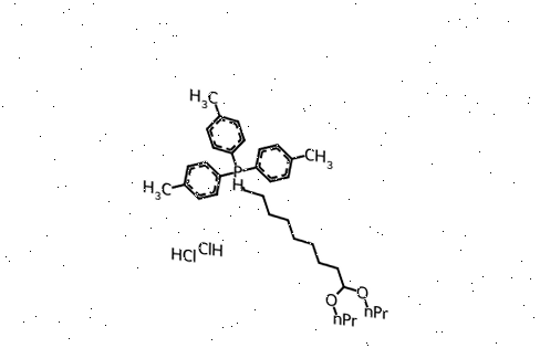 CCCOC(CCCCCCCC[PH](c1ccc(C)cc1)(c1ccc(C)cc1)c1ccc(C)cc1)OCCC.Cl.Cl